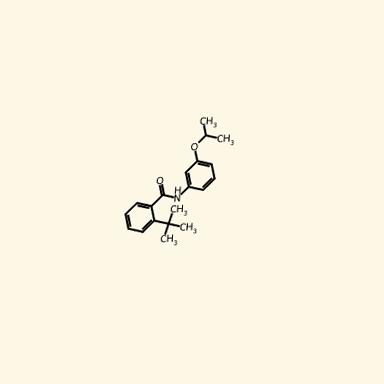 CC(C)Oc1cccc(NC(=O)c2ccccc2C(C)(C)C)c1